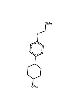 COCOc1ccc([C@H]2CC[C@H](OC)CC2)cc1